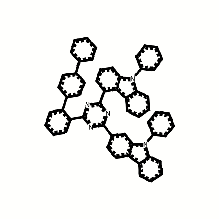 c1ccc(-c2ccc(-c3ccccc3-c3nc(-c4ccc5c6ccccc6n(-c6ccccc6)c5c4)nc(-c4cccc5c4c4ccccc4n5-c4ccccc4)n3)cc2)cc1